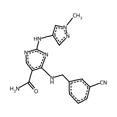 Cn1cc(Nc2ncc(C(N)=O)c(NCc3cccc(C#N)c3)n2)cn1